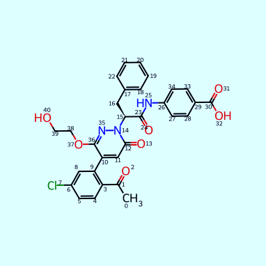 CC(=O)c1ccc(Cl)cc1-c1cc(=O)n([C@@H](Cc2ccccc2)C(=O)Nc2ccc(C(=O)O)cc2)nc1OCCO